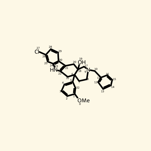 COc1cccc(C23CCN(Cc4ccccc4)CC2(O)Cc2c([nH]c4cc(Cl)ccc24)C3)c1